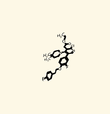 CCOC(=O)Cc1c(Cl)ncc(-c2ccc(OCCc3ccc(F)cc3)c(F)c2)c1N1CCC(C)(C)CC1